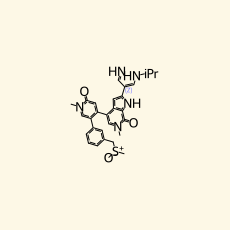 CC(C)N/C=C(\C=N)c1cc2c(-c3cc(=O)n(C)cc3-c3cccc(C[S+](C)[O-])c3)cn(C)c(=O)c2[nH]1